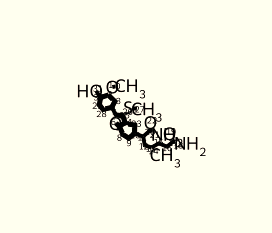 COc1cc(-c2oc3ccc(C(CC(C)CCC(N)=O)C(N)=O)cc3c2SC)ccc1O